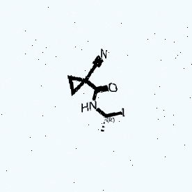 C[C@@H](I)NC(=O)C1(C#N)CC1